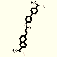 C=C(C)c1ccc(-c2ccc(OC(=O)/C=C/c3ccc4cc(C(=C)C)ccc4c3)cc2)cc1